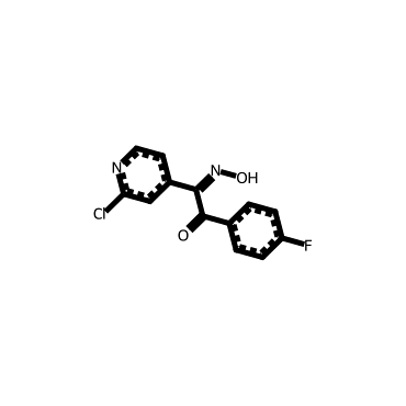 O=C(C(=NO)c1ccnc(Cl)c1)c1ccc(F)cc1